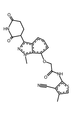 Cc1csc(NC(=O)COc2cccc3c(C4CCC(=O)NC4=O)nn(C)c23)c1C#N